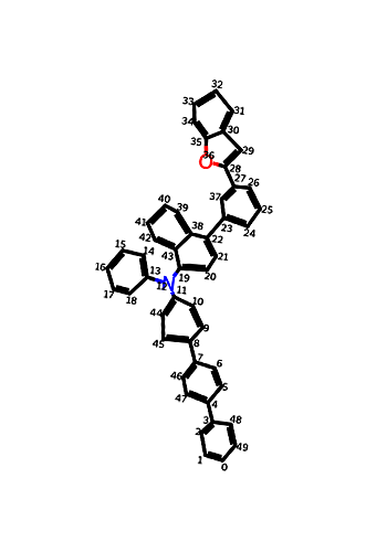 c1ccc(-c2ccc(-c3ccc(N(c4ccccc4)c4ccc(-c5cccc(-c6cc7ccccc7o6)c5)c5ccccc45)cc3)cc2)cc1